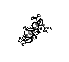 C=C(C)[C@@H]1CC[C@]2(C(=O)Cl)CC[C@]3(C)[C@H](CC[C@@H]4[C@@]5(C)CC[C@H](O)C(C)(C)[C@@H]5CC[C@]43C)[C@@H]12